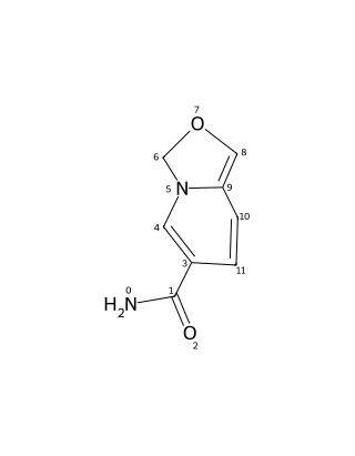 NC(=O)C1=CN2COC=C2C=C1